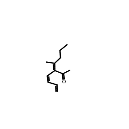 C=C/C=C\C(C(C)=O)=C(/C)CCC